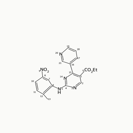 CCOC(=O)c1cnc(Nc2cc([N+](=O)[O-])ccc2C)nc1-c1cccnc1